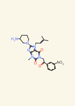 CC(C)=CCn1c(N2CCCC(N)C2)nc2c1c(=O)n(CC(=O)c1cccc([N+](=O)[O-])c1)c(=O)n2C